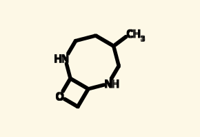 CC1CCNC2OCC2NC1